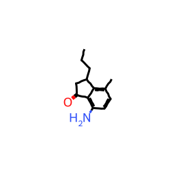 CCCC1CC(=O)c2c(N)ccc(C)c21